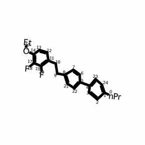 CCCc1ccc(-c2ccc(CCc3ccc(OCC)c(F)c3F)cc2)cc1